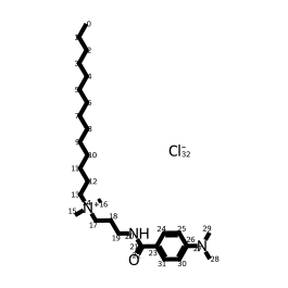 CCCCCCCCCCCCCC[N+](C)(C)CCCNC(=O)c1ccc(N(C)C)cc1.[Cl-]